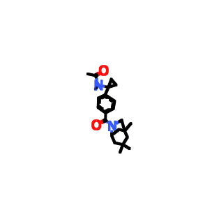 CC(=O)N(C)C1(c2ccc(C(=O)N3CC4(C)CC3CC(C)(C)C4)cc2)CC1